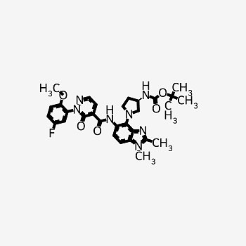 COc1ccc(F)cc1-n1nccc(C(=O)Nc2ccc3c(nc(C)n3C)c2N2CC[C@H](NC(=O)OC(C)(C)C)C2)c1=O